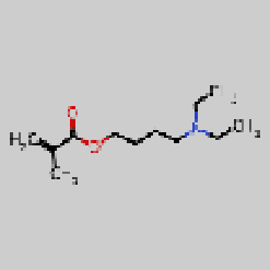 C=C(C)C(=O)OCCCCN(CC)CC